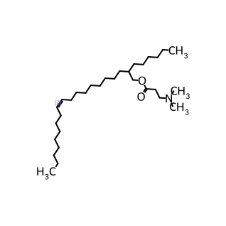 CCCCCCCC/C=C\CCCCCCCCC(CCCCCC)COC(=O)CCN(C)C